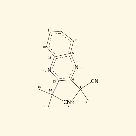 CC(C)(C#N)c1nc2ccccc2nc1C(C)(C)C#N